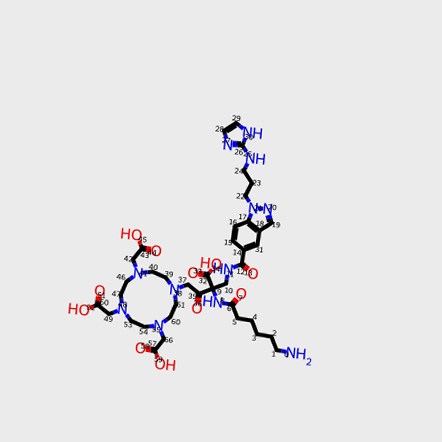 NCCCCCC(=O)NC(CNC(=O)c1ccc2c(cnn2CCCNc2ncc[nH]2)c1)(C(=O)O)C(=O)CN1CCN(CC(=O)O)CCN(CC(=O)O)CCN(CC(=O)O)CC1